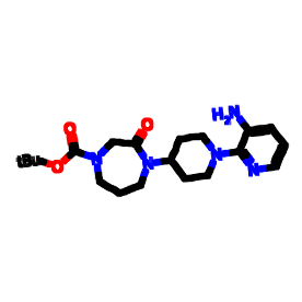 CC(C)(C)OC(=O)N1CCCN(C2CCN(c3ncccc3N)CC2)C(=O)C1